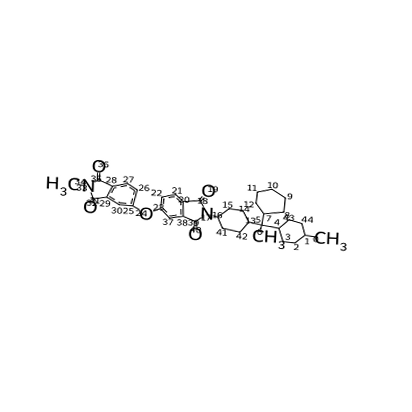 CC1CCC(C(C)(C2CCCCC2)C2CCC(N3C(=O)c4ccc(Oc5ccc6c(c5)C(=O)N(C)C6=O)cc4C3=O)CC2)CC1